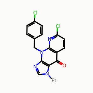 CCn1cnc2c1c(=O)c1ccc(Cl)nc1n2Cc1ccc(Cl)cc1